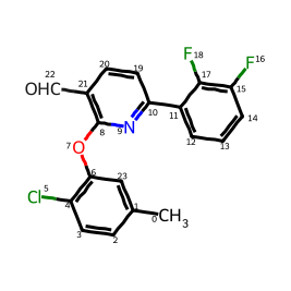 Cc1ccc(Cl)c(Oc2nc(-c3cccc(F)c3F)ccc2C=O)c1